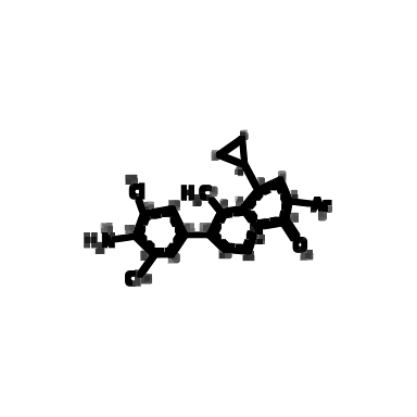 CC(=O)c1cc(C2CC2)c2c(C)c(-c3cc(Cl)c(N)c(Cl)c3)ccn2c1=O